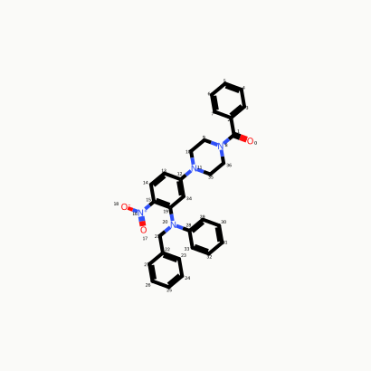 O=C(c1ccccc1)N1CCN(c2ccc([N+](=O)[O-])c(N(Cc3ccccc3)c3ccccc3)c2)CC1